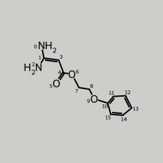 NC(N)=CC(=O)OCCOc1ccccc1